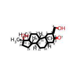 C[C@]12CC(=CO)C(=O)C[C@@H]1CC[C@@H]1[C@@H]2CC[C@@]2(C)[C@H]1CC[C@]2(C)O